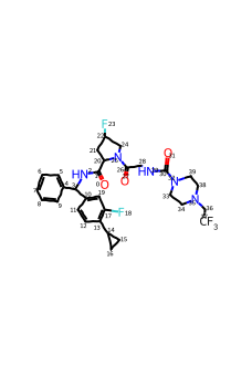 O=C(NC(c1ccccc1)c1ccc(C2CC2)c(F)c1)C1CC(F)CN1C(=O)CNC(=O)N1CCN(CC(F)(F)F)CC1